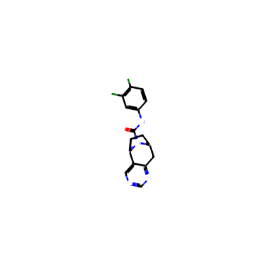 O=C(Nc1ccc(Br)c(Cl)c1)N1C2CCC1c1cncnc1C2